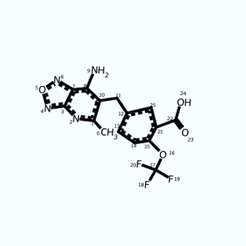 Cc1nc2nonc2c(N)c1Cc1ccc(OC(F)(F)F)c(C(=O)O)c1